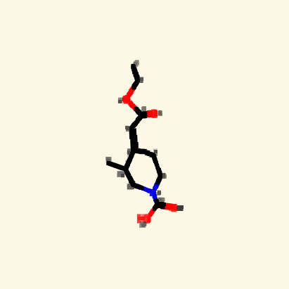 CCOC(=O)C=C1CCN(C(=O)O)CC1C